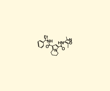 CC[C@@H](NC(=O)c1cc(C(=O)Nc2c(C)noc2C)n2c1CCCC2)c1ccccc1